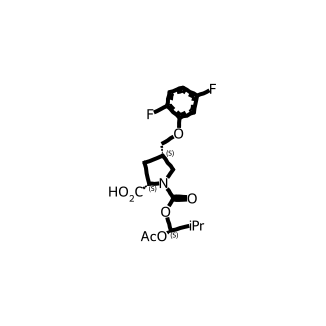 CC(=O)O[C@@H](OC(=O)N1C[C@@H](COc2cc(F)ccc2F)C[C@H]1C(=O)O)C(C)C